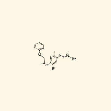 CCN(C)C=Nc1cc(Br)c(OC(C)COc2ccccc2)nc1C